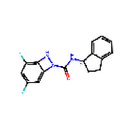 O=C(N[C@@H]1CCc2ccccc21)n1[nH]c2c(F)cc(F)cc21